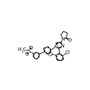 CS(=O)(=O)c1cccc(-c2ccc(-n3cc(N4CCCC4=O)nc3-c3c(Cl)cccc3Cl)cc2)c1